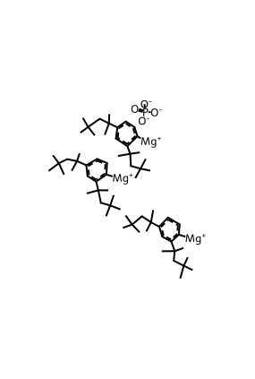 CC(C)(C)CC(C)(C)c1cc[c]([Mg+])c(C(C)(C)CC(C)(C)C)c1.CC(C)(C)CC(C)(C)c1cc[c]([Mg+])c(C(C)(C)CC(C)(C)C)c1.CC(C)(C)CC(C)(C)c1cc[c]([Mg+])c(C(C)(C)CC(C)(C)C)c1.O=P([O-])([O-])[O-]